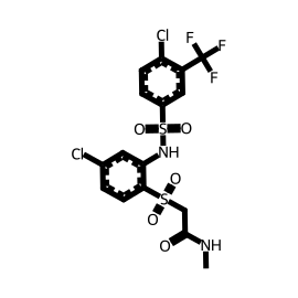 CNC(=O)CS(=O)(=O)c1ccc(Cl)cc1NS(=O)(=O)c1ccc(Cl)c(C(F)(F)F)c1